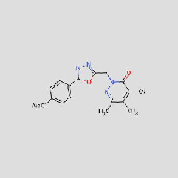 COc1ccc(-c2nnc(Cn3nc(C)c(C)c(C#N)c3=O)o2)cc1